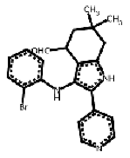 CC1(C)Cc2[nH]c(-c3ccncc3)c(Nc3ccccc3Br)c2C(C=O)C1